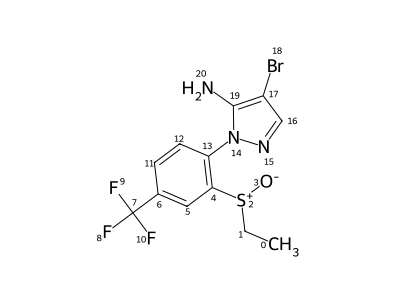 CC[S+]([O-])c1cc(C(F)(F)F)ccc1-n1ncc(Br)c1N